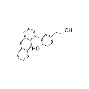 OCCc1ccc(O)c(-c2cccc3cc4ccccc4cc23)c1